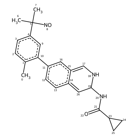 Cc1ccc(C(C)(C)N=O)cc1-c1ccc2c(c1)=CNC(NC(=O)C1CC1)C=2